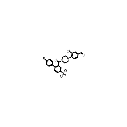 CS(=O)(=O)c1ccc(-c2ccc(F)cc2)c(C(=O)N2CCN(c3ccc(C=O)cc3Cl)CC2)c1